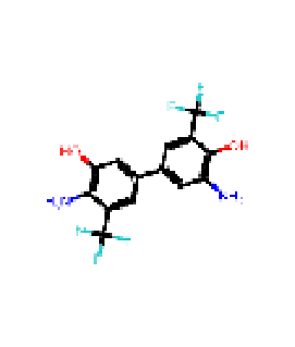 Nc1cc(-c2cc(O)c(N)c(C(F)(F)F)c2)cc(C(F)(F)F)c1O